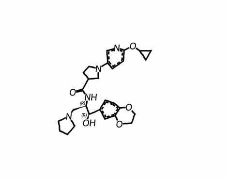 O=C(N[C@H](CN1CCCC1)[C@H](O)c1ccc2c(c1)OCCO2)C1CCN(c2ccc(OC3CC3)nc2)C1